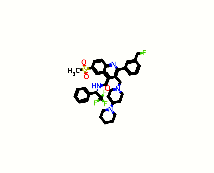 CS(=O)(=O)c1ccc2nc(-c3cccc(CF)c3)c(CN3CCC(N4CCCCC4)CC3)c(C(=O)N[C@@H](c3ccccc3)C(F)(F)F)c2c1